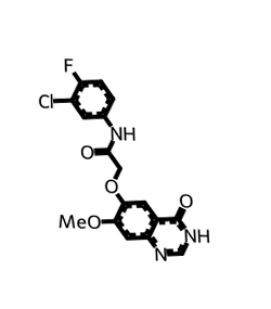 COc1cc2nc[nH]c(=O)c2cc1OCC(=O)Nc1ccc(F)c(Cl)c1